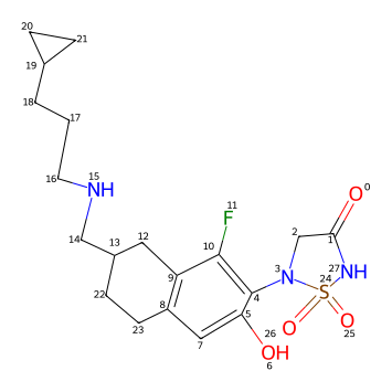 O=C1CN(c2c(O)cc3c(c2F)CC(CNCCCC2CC2)CC3)S(=O)(=O)N1